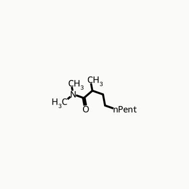 CCCCCCCC(C)C(=O)N(C)C